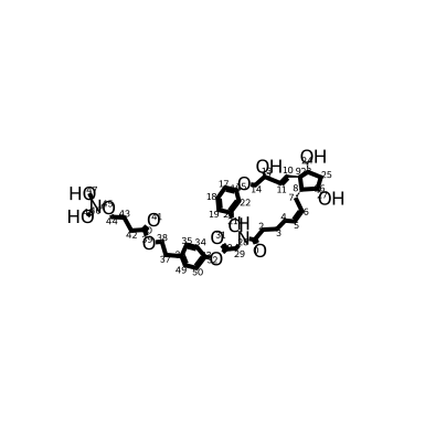 O=C(CCC/C=C\C[C@@H]1[C@@H](/C=C/[C@@H](O)COc2cccc(Cl)c2)[C@H](O)C[C@@H]1O)NCC(=O)Oc1ccc(CCOC(=O)CCCON(O)O)cc1